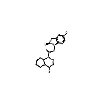 O=C1CCN(C(=O)CN2C(=O)Cc3cc(Cl)ccc32)C2CCCCC12